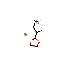 CC([CH2][Mg+])C1OCCO1.[Br-]